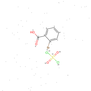 O=C(O)c1ccccc1Br.O=S(=O)(Cl)Cl